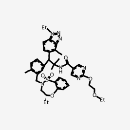 CCOCCOc1ncc(C(=O)NC(C)(C)C(c2ccc(C)c(CN3C[C@@H](CC)Oc4ccccc4S3(=O)=O)c2)c2ccc3c(nnn3CC)c2C)cn1